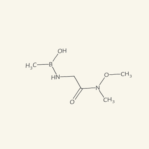 CON(C)C(=O)CNB(C)O